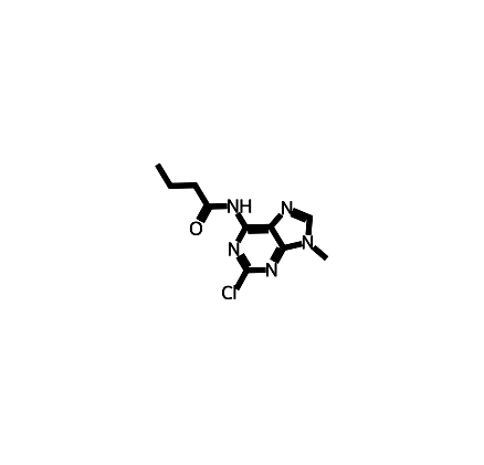 CCCC(=O)Nc1nc(Cl)nc2c1ncn2C